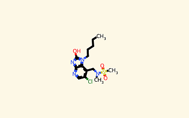 CCCCCn1c(O)nc2ncc(Cl)c(CN(C)S(C)(=O)=O)c21